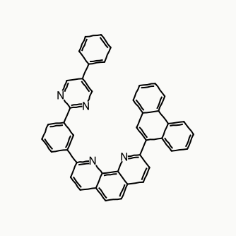 c1ccc(-c2cnc(-c3cccc(-c4ccc5ccc6ccc(-c7cc8ccccc8c8ccccc78)nc6c5n4)c3)nc2)cc1